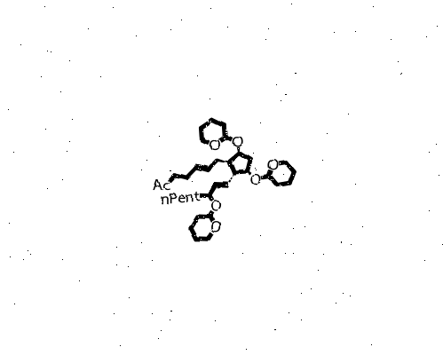 CCCCCC(C=C[C@@H]1[C@@H](CC=CCCC(C)=O)[C@@H](OC2CCCCO2)C[C@H]1OC1CCCCO1)OC1CCCCO1